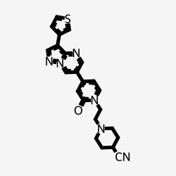 N#CC1CCN(CCn2ccc(-c3cnc4c(-c5ccsc5)cnn4c3)cc2=O)CC1